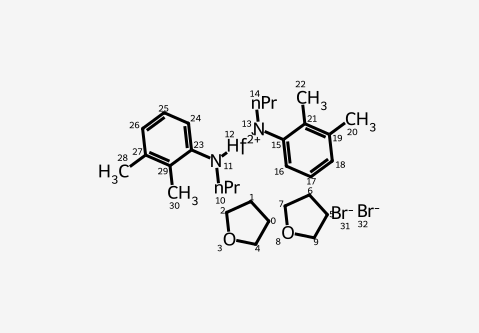 C1CCOC1.C1CCOC1.CCC[N]([Hf+2][N](CCC)c1cccc(C)c1C)c1cccc(C)c1C.[Br-].[Br-]